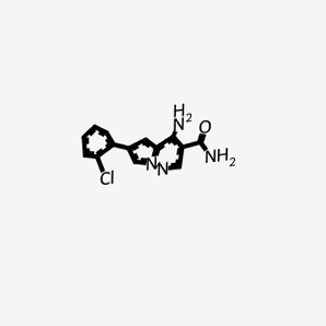 NC(=O)c1cnn2cc(-c3ccccc3Cl)cc2c1N